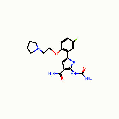 NC(=O)Nc1[nH]c(-c2cc(F)ccc2OCCN2CCCC2)cc1C(N)=O